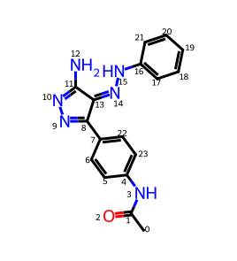 CC(=O)Nc1ccc(C2=NN=C(N)/C2=N\Nc2ccccc2)cc1